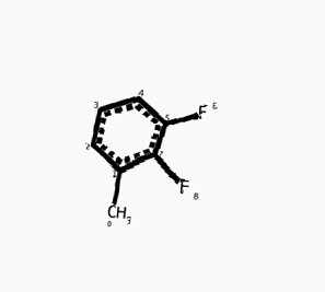 Cc1cccc(F)c1F